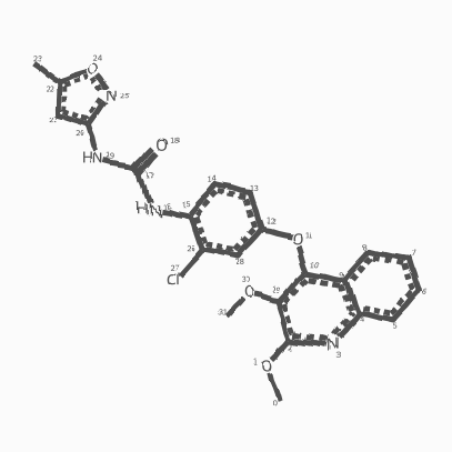 COc1nc2ccccc2c(Oc2ccc(NC(=O)Nc3cc(C)on3)c(Cl)c2)c1OC